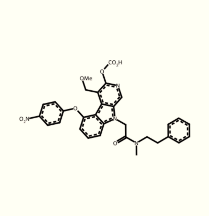 COCc1c(OC(=O)O)ncc2c1c1c(Oc3ccc([N+](=O)[O-])cc3)cccc1n2CC(=O)N(C)CCc1ccccc1